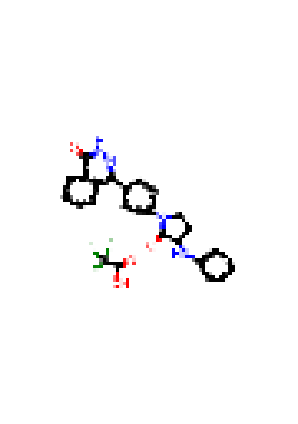 O=C(O)C(F)(F)F.O=C1C(Nc2ccccc2)CCN1c1ccc(-c2n[nH]c(=O)c3ccccc23)cc1